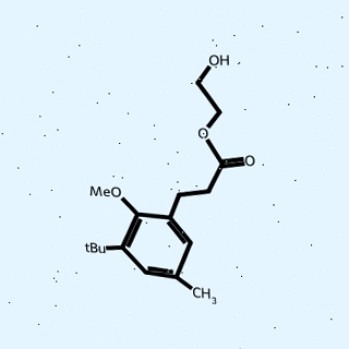 COc1c(CCC(=O)OCCO)cc(C)cc1C(C)(C)C